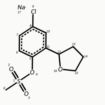 CS(=O)(=O)Oc1ccc(Cl)cc1C1CCCO1.[Na]